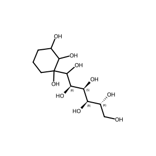 OC[C@@H](O)[C@@H](O)[C@H](O)[C@@H](O)C(O)C1(O)CCCC(O)C1O